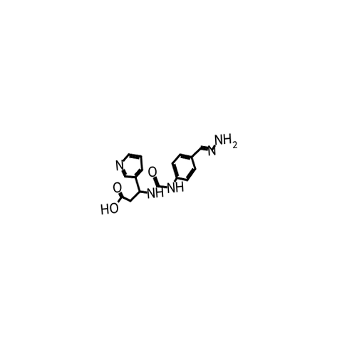 NN=Cc1ccc(NC(=O)NC(CC(=O)O)c2cccnc2)cc1